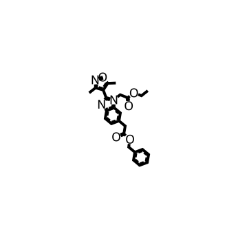 CCOC(=O)Cn1c(-c2c(C)noc2C)nc2ccc(CC(=O)OCc3ccccc3)cc21